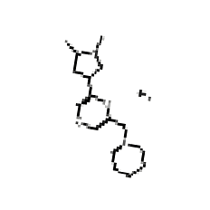 CC1CC(C2=NOCC(CN3CCCCC3)O2)CN1C.N